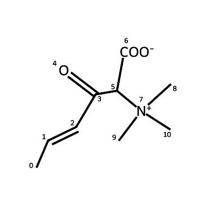 C/C=C/C(=O)C(C(=O)[O-])[N+](C)(C)C